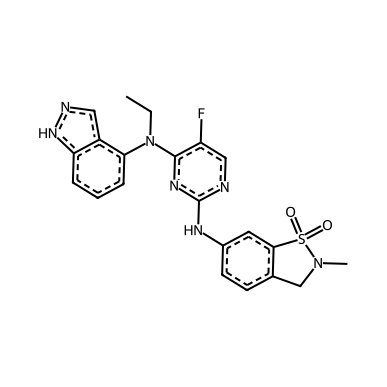 CCN(c1nc(Nc2ccc3c(c2)S(=O)(=O)N(C)C3)ncc1F)c1cccc2[nH]ncc12